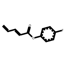 C=CC=CC(=O)Oc1ccc(F)cc1